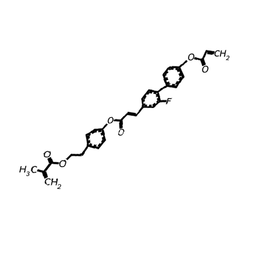 C=CC(=O)Oc1ccc(-c2ccc(/C=C/C(=O)Oc3ccc(CCOC(=O)C(=C)C)cc3)cc2F)cc1